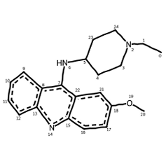 CCN1CCC(Nc2c3ccccc3nc3ccc(OC)cc23)CC1